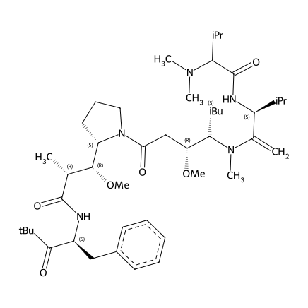 C=C([C@@H](NC(=O)C(C(C)C)N(C)C)C(C)C)N(C)C([C@@H](C)CC)[C@@H](CC(=O)N1CCC[C@H]1[C@H](OC)[C@@H](C)C(=O)N[C@@H](Cc1ccccc1)C(=O)C(C)(C)C)OC